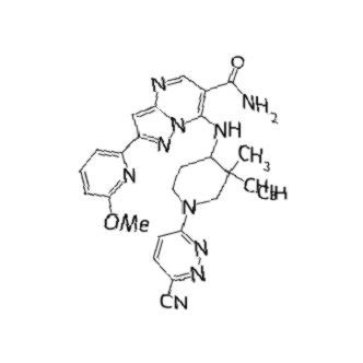 COc1cccc(-c2cc3ncc(C(N)=O)c(NC4CCN(c5ccc(C#N)nn5)CC4(C)C)n3n2)n1.Cl